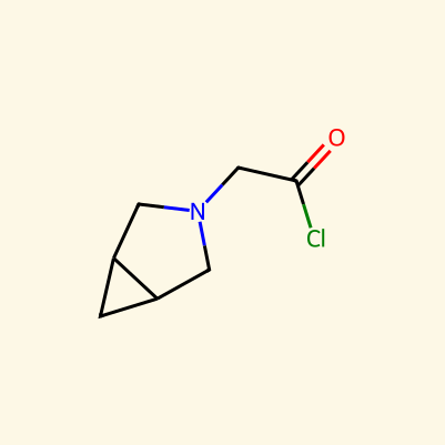 O=C(Cl)CN1CC2CC2C1